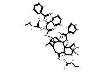 CC1=C2[CH]C(=O)[C@]3(C)[C@@H](OC(=O)OCI)C[C@H]4OC[C]4[C@H]3C(OC(=O)c3ccccc3)[C@](O)(C[C@@H]1OC(=O)[C@H](OC(=O)OCI)[C@@H](NC(=O)c1ccccc1)c1ccccc1)C2(C)C